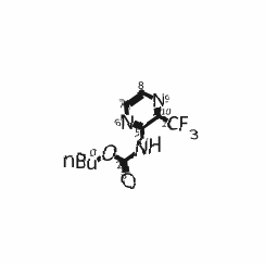 CCCCOC(=O)Nc1nccnc1C(F)(F)F